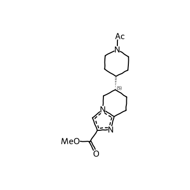 COC(=O)c1cn2c(n1)CC[C@@H](C1CCN(C(C)=O)CC1)C2